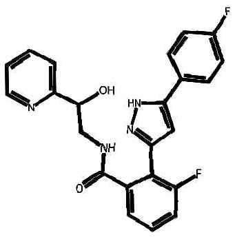 O=C(NCC(O)c1ccccn1)c1cccc(F)c1-c1cc(-c2ccc(F)cc2)[nH]n1